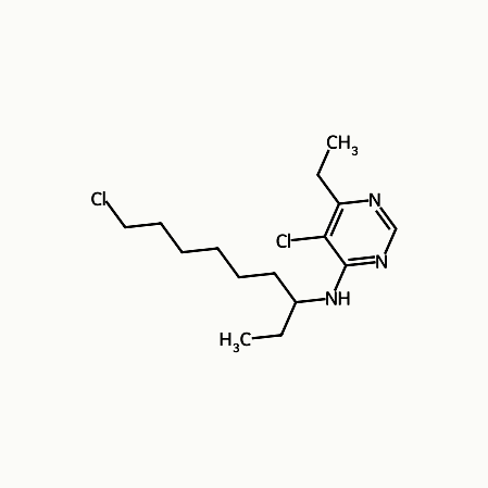 CCc1ncnc(NC(CC)CCCCCCCl)c1Cl